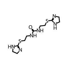 O=C(NCCSC1=NCCN1)NCCSC1=NCCN1